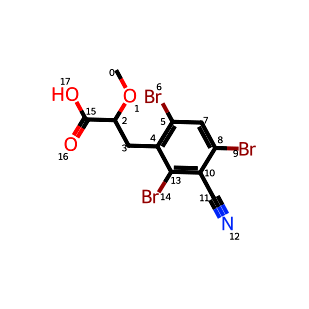 COC(Cc1c(Br)cc(Br)c(C#N)c1Br)C(=O)O